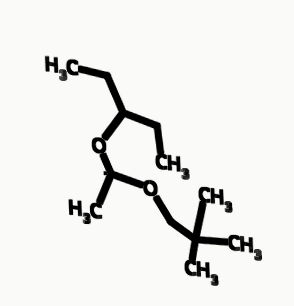 CCC(CC)O[C](C)OCC(C)(C)C